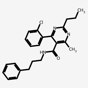 CCCc1nc(C)c(C(=O)NCCCc2ccccc2)c(-c2ccccc2Cl)n1